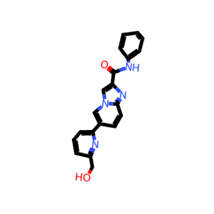 O=C(Nc1ccccc1)c1cn2cc(-c3cccc(CO)n3)ccc2n1